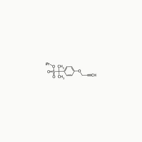 C#CCOc1ccc(C(C)(C)S(=O)(=O)OC(C)C)cc1